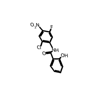 O=C(Nc1cc(F)c([N+](=O)[O-])cc1Cl)c1ccccc1O